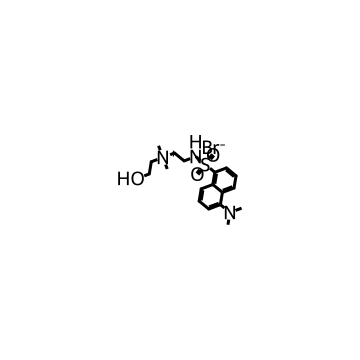 CN(C)c1cccc2c(S(=O)(=O)NCC[N+](C)(C)CCO)cccc12.[Br-]